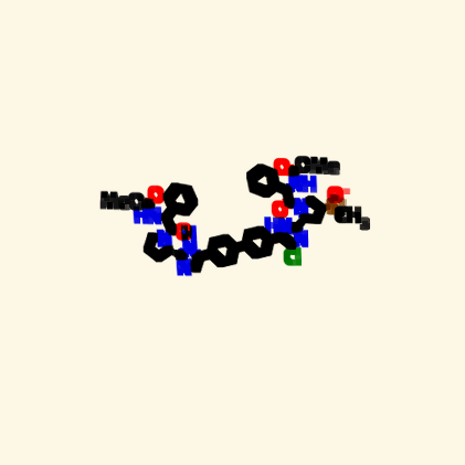 COC(=O)NC(C(=O)N1C[C@@H]([S+](C)[O-])C[C@H]1c1nc(Cl)c(-c2ccc(-c3ccc(-c4cnc([C@@H]5CCCN5C(=O)[C@@H](NC(=O)OC)c5ccccc5)[nH]4)cc3)cc2)[nH]1)c1ccccc1